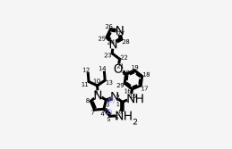 C=C(/N=C1\C(=C/N)C=CN1C(CC)CC)Nc1cccc(OCCn2ccnc2)c1